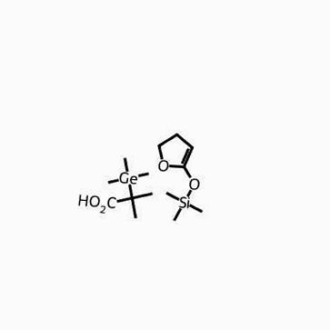 C[C](C)(C(=O)O)[Ge]([CH3])([CH3])[CH3].C[Si](C)(C)OC1=CCCO1